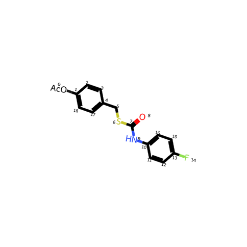 CC(=O)Oc1ccc(CSC(=O)Nc2ccc(F)cc2)cc1